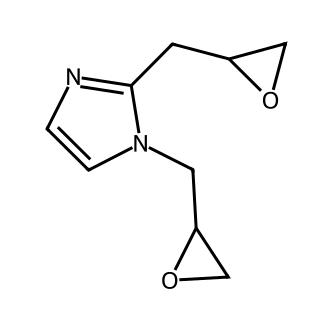 c1cn(CC2CO2)c(CC2CO2)n1